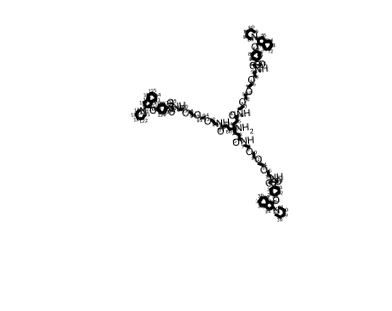 NC(CCC(=O)NCCOCCOCCOCCNS(=O)(=O)c1ccc(O[C@H]2c3ccccc3C[C@@H]2N2CCCCC2)cc1)(CCC(=O)NCCOCCOCCOCCNS(=O)(=O)c1ccc(O[C@H]2c3ccccc3C[C@@H]2N2CCCCC2)cc1)CCC(=O)NCCOCCOCCOCCNS(=O)(=O)c1ccc(O[C@H]2c3ccccc3C[C@@H]2N2CCCCC2)cc1